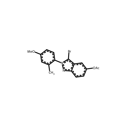 COc1ccc(-n2nc3ccc(OC(C)=O)cc3c2Br)c(C)c1